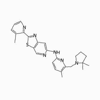 Cc1ccc(Nc2cc3nc(-c4ncccc4C)sc3cn2)nc1CN1CCCC1(C)C